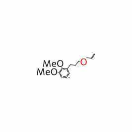 C=CCOCCCc1c[c]cc(OC)c1OC